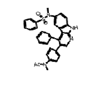 CC(=O)N(C)c1ccc(-c2cnc3[nH]c4ccc(N(C)S(=O)(=O)c5ccccc5)cc4c3c2-c2ccccc2)cc1